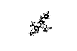 CN(C)C(=O)c1cc(CN2C[C@@H]3C[C@H]2CN3C(=O)c2cccc(Cl)c2F)nc(Nc2nccs2)c1.O=C(O)C(F)(F)F